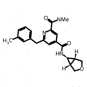 CNC(=O)c1cc(C(=O)N[C@H]2[C@@H]3COC[C@@H]32)cc(Cc2cccc(C)c2)n1